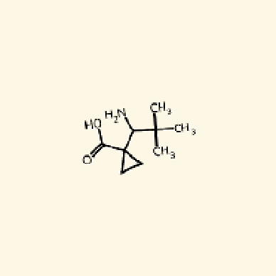 CC(C)(C)C(N)C1(C(=O)O)CC1